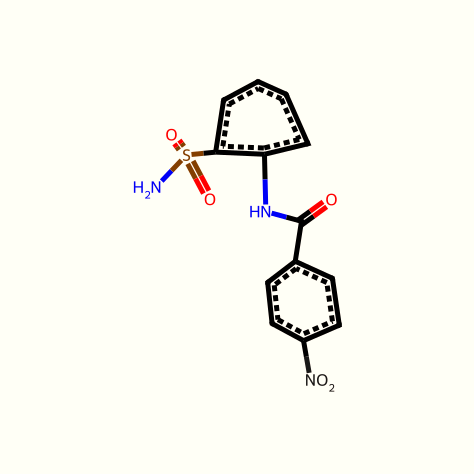 NS(=O)(=O)c1ccccc1NC(=O)c1ccc([N+](=O)[O-])cc1